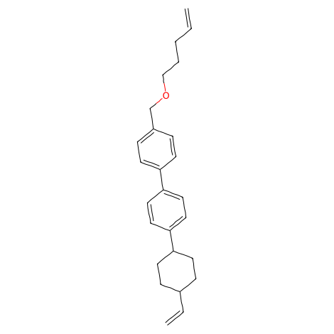 C=CCCCOCc1ccc(-c2ccc(C3CCC(C=C)CC3)cc2)cc1